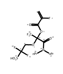 C=C(F)C(=O)OC(OCC(F)(F)S(=O)(=O)O)(C(=O)N(CCC)CCC)C(F)(F)F